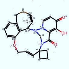 O=C1c2c(O)c(=O)ccn2N2CN1C1(/C=C/COc3cccc4c3[C@H]2c2ccccc2SC4)CCC1